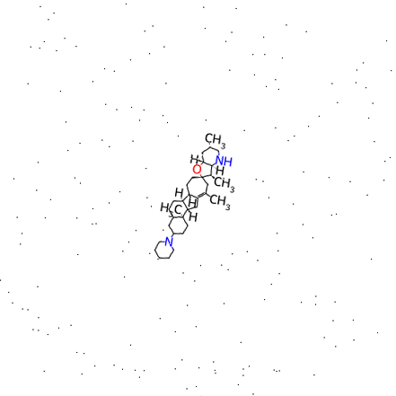 CC1=C2C[C@H]3[C@@H](CCC4CC(N5CCCCC5)CC[C@@]43C)[C@@H]2CC[C@@]2(C1)O[C@@H]1C[C@H](C)CN[C@H]1[C@H]2C